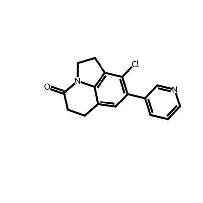 O=C1CCc2cc(-c3cccnc3)c(Cl)c3c2N1CC3